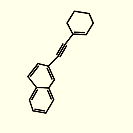 C(#Cc1ccc2ccccc2c1)C1=CCCCC1